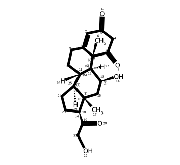 C[C@]12C(=O)CC(=O)C=C1CC[C@@H]1[C@@H]2[C@@H](O)C[C@]2(C)[C@@H](C(=O)CO)CC[C@@H]12